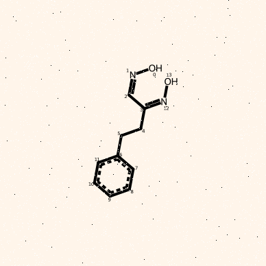 O/N=C\C(CCc1ccccc1)=N/O